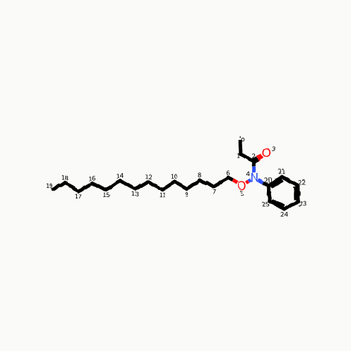 [CH2]CC(=O)N(OCCCCCCCCCCCCCC)c1ccccc1